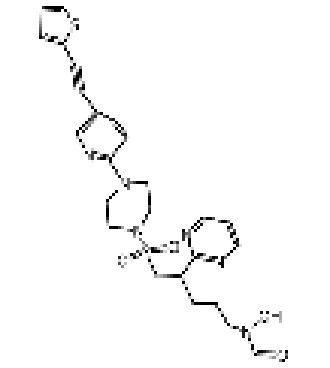 O=CN(O)CCCC(CS(=O)(=O)N1CCN(c2ccc(C#Cc3cccs3)cn2)CC1)c1ncccn1